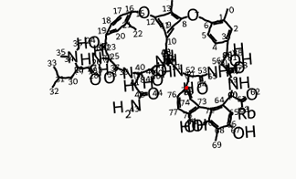 Cc1cc2ccc1Oc1cc3cc(c1C)Oc1ccc(cc1C)[C@@H](O)[C@@H](NC(=O)[C@@H](CC(C)C)N(C)C)C(=O)N[C@@H](CC(N)=O)C(=O)N[C@H]3C(=O)N[C@H]1C(=O)N[C@H](C(=O)N[C@@H]([C](=O)[Rb])c3cc(O)c(C)c(O)c3-c3cc1ccc3O)[C@@H]2O